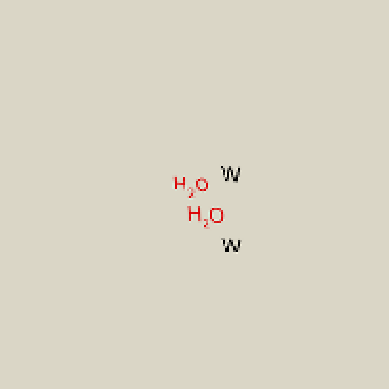 O.O.[W].[W]